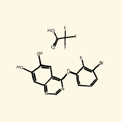 O=C(O)C(F)(F)F.Oc1cc2ncnc(Oc3cccc(Br)c3F)c2cc1O